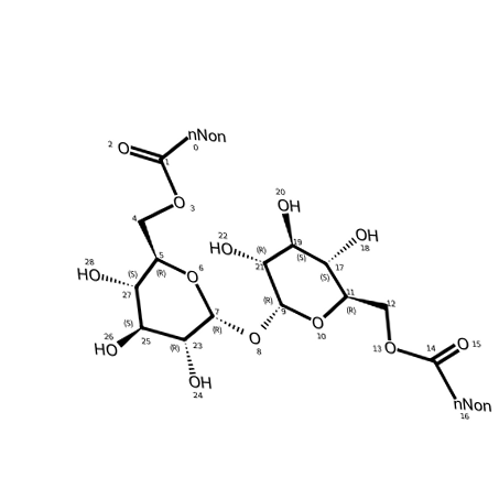 CCCCCCCCCC(=O)OC[C@H]1O[C@H](O[C@H]2O[C@H](COC(=O)CCCCCCCCC)[C@@H](O)[C@H](O)[C@H]2O)[C@H](O)[C@@H](O)[C@@H]1O